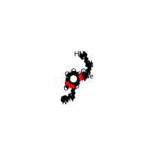 CO[C@]1(C)C[C@@H](C)C(=O)[C@@H]2C(CCCn3cnc(-c4cccnc4)c3)N3C(=O)O[C@](C)([C@@H](I)OC(=O)[C@H](C)C(=O)C(C)[C@H]1O[C@@H]1O[C@H](C)C[C@H](N(C)CCc4cn(CCN5CCNCC5)nn4)[C@H]1O)[C@@H]23